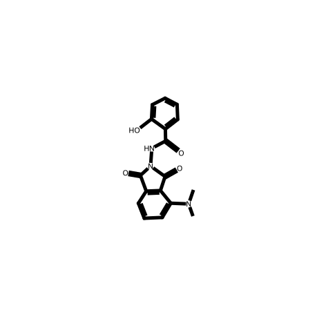 CN(C)c1cccc2c1C(=O)N(NC(=O)c1ccccc1O)C2=O